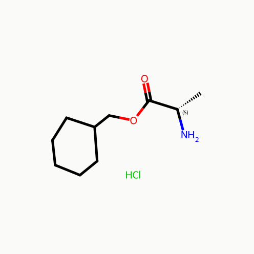 C[C@H](N)C(=O)OCC1CCCCC1.Cl